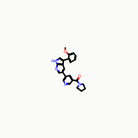 COc1ccccc1-c1c[nH]c2ncc(-c3cncc(C(=O)N4CCCC4)c3)cc12